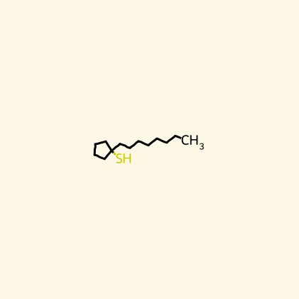 CCCCCCCCC1(S)CCCC1